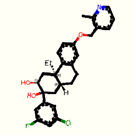 CC[C@@]12C[C@H](O)C(O)(c3cc(F)cc(Cl)c3)C[C@H]1CCc1cc(OCc3cccnc3C)ccc12